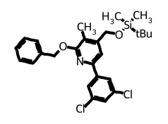 Cc1c(CO[Si](C)(C)C(C)(C)C)cc(-c2cc(Cl)cc(Cl)c2)nc1OCc1ccccc1